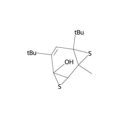 CC(C)(C)C1=CC2(C(C)(C)C)SC2(C)C2SC12O